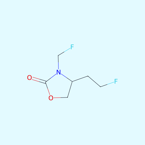 O=C1OCC(CCF)N1CF